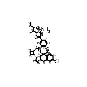 C=CC[C@H](C)CS(N)(=O)=NC(=O)c1ccc2c(c1)N(C[C@@H]1CC[C@H]1CC=C)C[C@@]1(CCCc3cc(Cl)ccc31)CO2